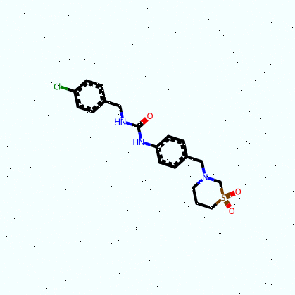 O=C(NCc1ccc(Cl)cc1)Nc1ccc(CN2CCCS(=O)(=O)C2)cc1